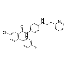 O=C(Nc1ccc(NCCc2ccccn2)cc1)c1cc(Cl)ccc1-c1ccc(F)cc1